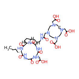 CCCC[C@@H]1NC(=O)[C@@H]2CC[C@H]3C[C@@H](CNC(=O)CN4CCN(CC(=O)O)CCN(CC(=O)O)CCN(CC(=O)O)CC4)[C@@H](NC(=O)[C@H](CC(=O)O)NC(=O)CNC1=O)C(=O)N32